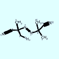 [2H]CC(C)(C#N)N=NC(C)(C)C#N